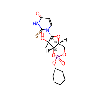 CC1(O)[C@H]2OP(=O)(OC3CCCCC3)OC[C@H]2O[C@H]1n1ccc(=O)[nH]c1=S